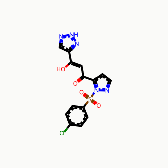 O=C(C=C(O)c1cn[nH]n1)c1ccnn1S(=O)(=O)c1ccc(Cl)cc1